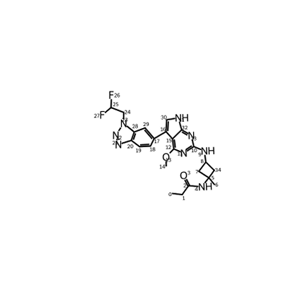 CCC(=O)NC1(C)CC(Nc2nc(OC)c3c(-c4ccc5nnn(CC(F)F)c5c4)c[nH]c3n2)C1